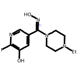 CCN1CCN(/C(=N/O)c2cnc(I)c(O)c2)CC1